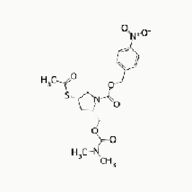 CC(=O)S[C@H]1C[C@@H](COC(=O)N(C)C)N(C(=O)OCc2ccc([N+](=O)[O-])cc2)C1